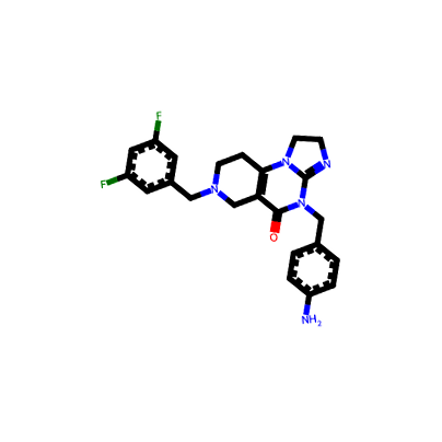 Nc1ccc(CN2C(=O)C3=C(CCN(Cc4cc(F)cc(F)c4)C3)N3CCN=C23)cc1